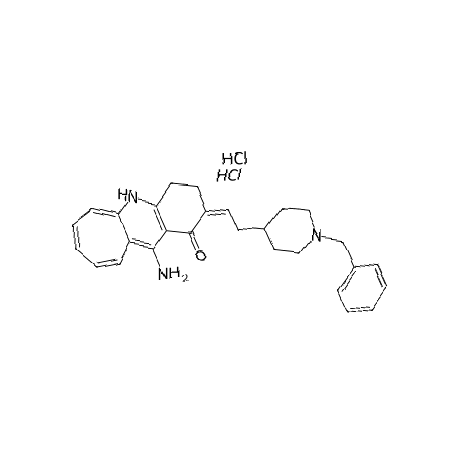 Cl.Cl.NC1=C2C=CC=CC=C2NC2=C1C(=O)C(=CCC1CCN(Cc3ccccc3)CC1)CC2